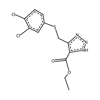 CCOC(=O)c1[nH]nnc1CSc1ccc(Cl)c(Cl)c1